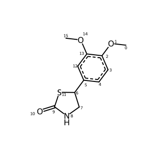 COc1ccc(C2CNC(=O)S2)cc1OC